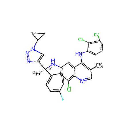 [2H][C@](Nc1cc(Cl)c2ncc(C#N)c(Nc3cccc(Cl)c3Cl)c2c1)(c1ccc(F)cc1)c1cn(C2CC2)nn1